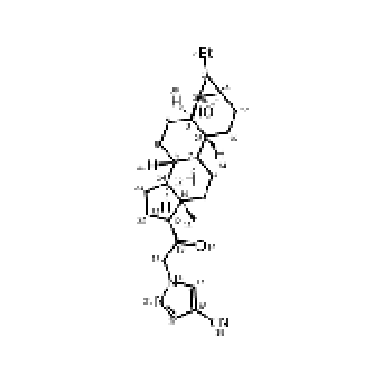 CCC1C2[C@@H]3CC[C@@H]4[C@H](CC[C@]5(C)[C@@H](C(=O)Cn6cc(C#N)cn6)CC[C@@H]45)[C@H]3CC[C@]12O